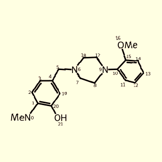 CNc1ccc(CN2CCN(c3ccccc3OC)CC2)cc1O